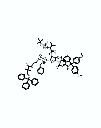 COc1ccc(C(Nc2ccn([C@@H]3O[C@H](COP(=O)(NCc4ccccc4)OCCSC(=O)C(C)(C)COC(c4ccccc4)(c4ccccc4)c4ccccc4)[C@@H](OC(=O)[C@@H](NC(=O)OC(C)(C)C)C(C)C)[C@@]3(C)O)c(=O)n2)(c2ccccc2)c2ccc(OC)cc2)cc1